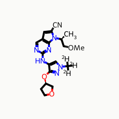 [2H]C([2H])([2H])n1cc(Nc2ncc3cc(C#N)n([C@@H](C)COC)c3n2)c(O[C@@H]2CCOC2)n1